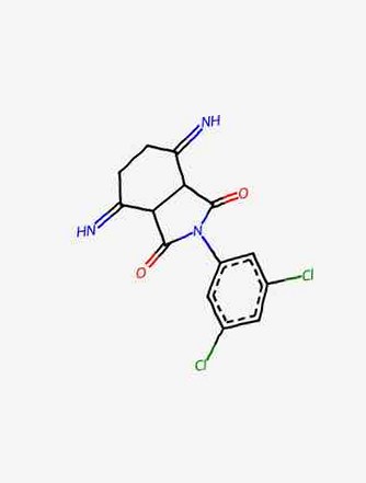 N=C1CCC(=N)C2C(=O)N(c3cc(Cl)cc(Cl)c3)C(=O)C12